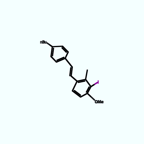 CCCCc1ccc(C=Cc2ccc(OC)c(I)c2C)cc1